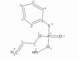 C=CCOP(=O)(OCCC)Sc1ccccc1